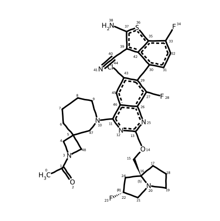 CC(=O)N1CC2(CCCCN(c3nc(OC[C@@]45CCCN4C[C@H](F)C5)nc4c(F)c(-c5ccc(F)c6sc(N)c(C#N)c56)c(Cl)cc34)C2)C1